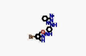 Cc1cc(Br)cc(C)c1NC(=O)NC1CCC(Nc2nc3c(c(N(C)C)n2)CCCC3)CC1